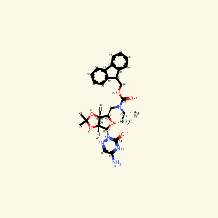 CC[C@H](C)[C@@H](C(=O)O)N(C[C@H]1O[C@@H](n2ncc(N)nc2=O)[C@@H]2OC(C)(C)O[C@@H]21)C(=O)OCC1c2ccccc2-c2ccccc21